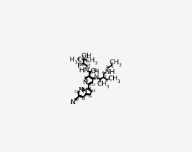 CCCNCC(CC)C(C)Nc1cc(-c2ccc3cc(C#N)cnn23)ncc1C(=O)NC[C@@H](F)C(C)(C)O